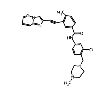 Cc1ccc(C(=O)Nc2ccc(CN3CCN(C)CC3)c(Cl)c2)cc1C#Cc1cn2ncccc2n1